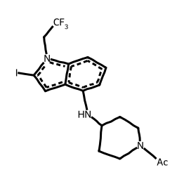 CC(=O)N1CCC(Nc2cccc3c2cc(I)n3CC(F)(F)F)CC1